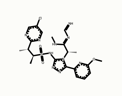 CN/C(=N\C=N)[C@H](C)n1c(NS(=O)(=O)[C@@H](C)[C@H](C)c2ncc(Cl)cn2)nnc1-c1cccc(OC)n1